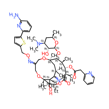 CC[C@H]1OC(=O)[C@H](C)[C@@H](OC(=O)Cc2ccccn2)[C@H](C)[C@@H](O[C@@H]2O[C@H](C)C[C@H](N(C)C)[C@H]2O)[C@@]2(C)C[C@@H](C)/C(=N\C(C)=O)[C@H](C)[C@@H](OCC(=NOCc3ccc(-c4cccc(N)n4)s3)CO2)[C@]1(C)O